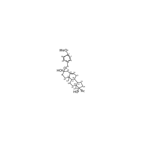 COc1ccc(COC2(O)CCC3(C)C(=CCC4C3CCC3(C)C4CCC3(O)C(C)=O)C2)cc1